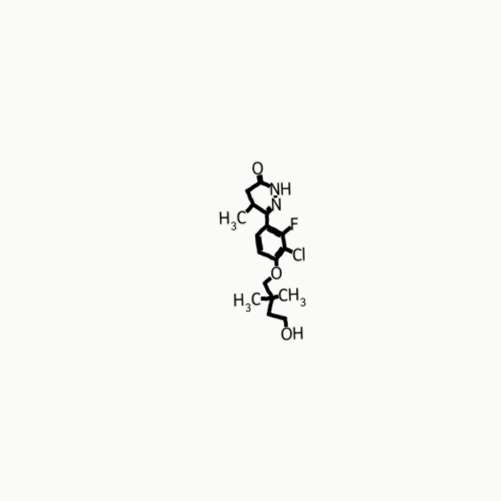 CC1CC(=O)NN=C1c1ccc(OCC(C)(C)CCO)c(Cl)c1F